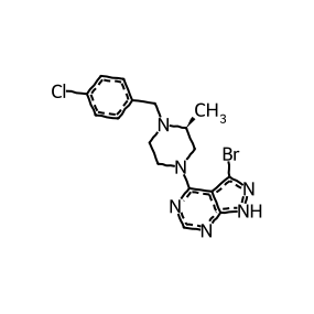 C[C@H]1CN(c2ncnc3[nH]nc(Br)c23)CCN1Cc1ccc(Cl)cc1